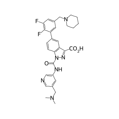 CN(C)Cc1cncc(NC(=O)n2nc(C(=O)O)c3cc(-c4cc(CN5CCCCC5)cc(F)c4F)ccc32)c1